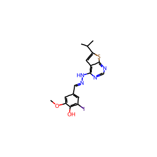 COc1cc(C=NNc2ncnc3sc(C(C)C)cc23)cc(I)c1O